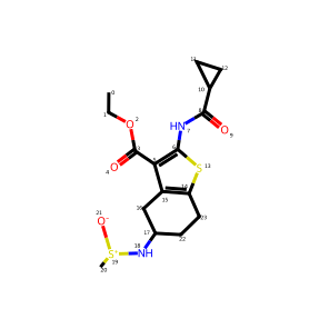 CCOC(=O)c1c(NC(=O)C2CC2)sc2c1CC(N[S+](C)[O-])CC2